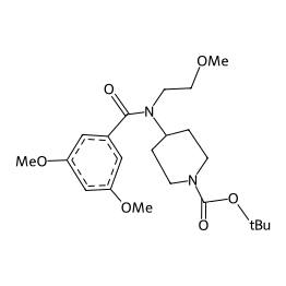 COCCN(C(=O)c1cc(OC)cc(OC)c1)C1CCN(C(=O)OC(C)(C)C)CC1